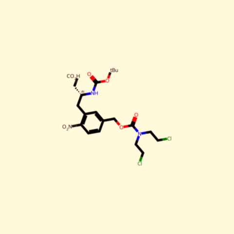 CC(C)(C)OC(=O)N[C@@H](CC(=O)O)Cc1cc(COC(=O)N(CCCl)CCCl)ccc1[N+](=O)[O-]